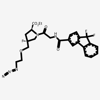 CCOC(=O)[C@@H]1C[C@](F)(COCCN=[N+]=[N-])CN1C(=O)CNC(=O)c1ccc2c(c1)-c1ccccc1C2(F)F